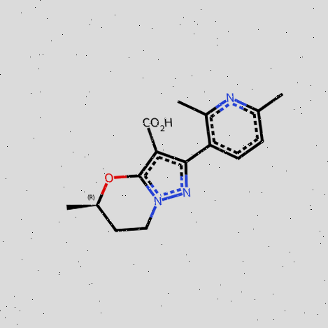 Cc1ccc(-c2nn3c(c2C(=O)O)O[C@H](C)CC3)c(C)n1